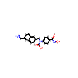 NCc1ccc2cc(CN(C(=O)O)c3ccc(C(=O)NO)cc3)ccc2c1